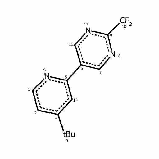 CC(C)(C)c1ccnc(-c2cnc(C(F)(F)F)nc2)c1